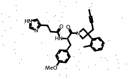 CC#CCC1(c2ccccc2C)CN(C(=O)C(Cc2ccc(OC)cc2)NC(=O)CCc2c[nH]cn2)C1